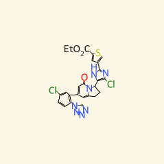 CCOC(=O)c1cc(-c2nc(Cl)c(C3CCc4cc(-c5cc(Cl)ccc5-n5cnnn5)cc(=O)n43)[nH]2)cs1